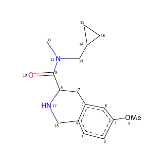 COc1ccc2c(c1)CC(C(=O)N(C)CC1CC1)NC2